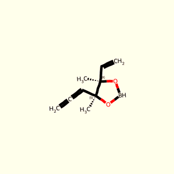 C=C=C[C@]1(C)OBO[C@]1(C)C=C